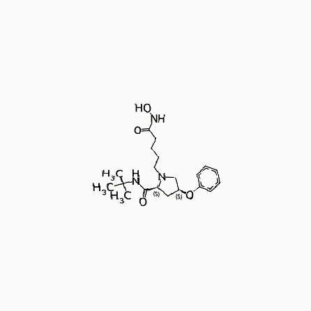 CC(C)(C)NC(=O)[C@@H]1C[C@H](Oc2ccccc2)CN1CCCCC(=O)NO